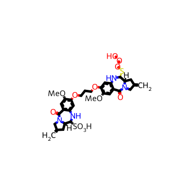 C=C1C[C@H]2C(S(=O)(=O)O)Nc3cc(OCCCOc4cc5c(cc4OC)C(=O)N4CC(=C)C[C@H]4[C@H](SOOO)N5)c(OC)cc3C(=O)N2C1